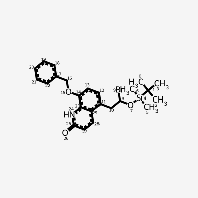 CC(C)(C)[Si](C)(C)OC(Br)Cc1ccc(OCc2ccccc2)c2[nH]c(=O)ccc12